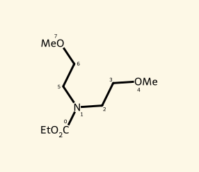 C[CH]OC(=O)N(CCOC)CCOC